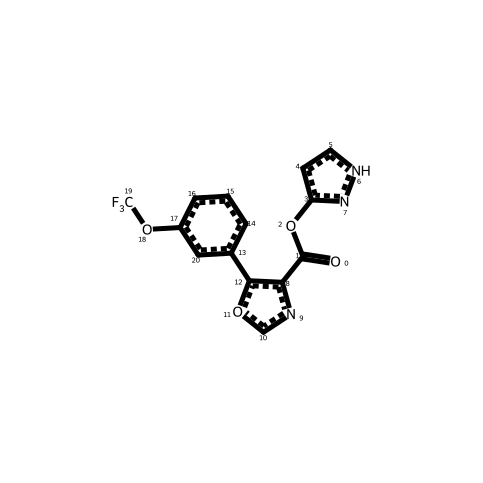 O=C(Oc1cc[nH]n1)c1ncoc1-c1cccc(OC(F)(F)F)c1